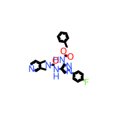 O=C(Nc1nn(-c2ccc(F)cc2)cc1NC(=O)N1Cc2ccncc2C1)OCc1ccccc1